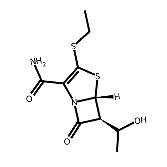 CCSC1=C(C(N)=O)N2C(=O)[C@H](C(C)O)[C@H]2S1